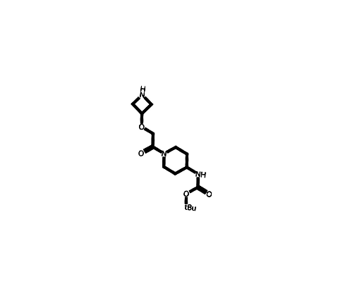 CC(C)(C)OC(=O)NC1CCN(C(=O)COC2CNC2)CC1